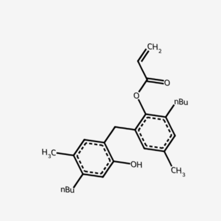 C=CC(=O)Oc1c(CCCC)cc(C)cc1Cc1cc(C)c(CCCC)cc1O